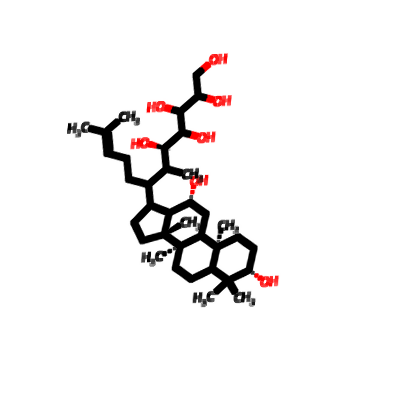 CC(C)=CCCC(C1CC[C@]2(C)C1[C@H](O)CC1[C@@]3(C)CC[C@H](O)C(C)(C)C3CC[C@]12C)C(C)[C@@H](O)C(O)C(O)C(O)CO